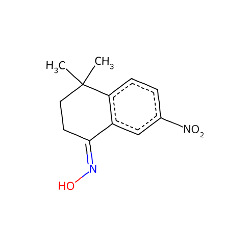 CC1(C)CCC(=NO)c2cc([N+](=O)[O-])ccc21